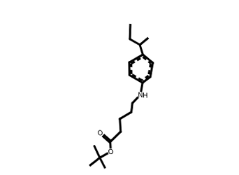 CCC(C)c1ccc(NCCCCC(=O)OC(C)(C)C)cc1